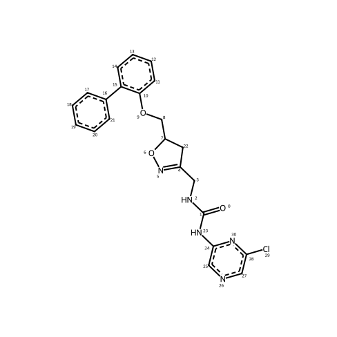 O=C(NCC1=NOC(COc2ccccc2-c2ccccc2)C1)Nc1cncc(Cl)n1